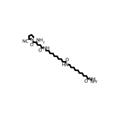 CCCNC(=O)CCCCCCCCCNC(=O)CCCCCCCCCNC(=O)CC[C@H](N)C(=O)N1CCC[C@H]1C#N